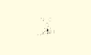 CCc1cc2c(=O)[nH]c(=O)n(Cc3ccc(-c4cc(C)ccc4C#N)cc3)c2s1